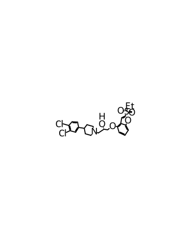 CCS(=O)(=O)c1cc2c(OC[C@@H](O)CN3CCC(c4ccc(Cl)c(Cl)c4)CC3)cccc2o1